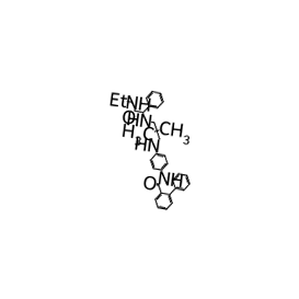 CCNC(=O)C(NCC(C)(C)CNc1ccc(NC(=O)c2ccccc2-c2ccccc2)cc1)c1ccccc1